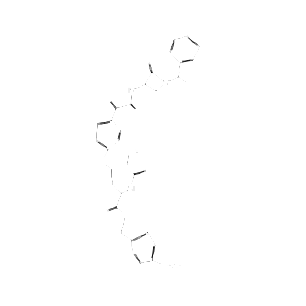 COc1ccc(COC(=O)C(CCOc2ccc(C(=O)C(=O)NC3CN(C(C(=O)O)c4ccccc4)C3=O)cc2)NC(=O)OC(C)(C)C)cc1